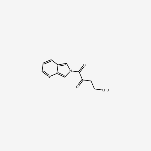 O=CCCC(=O)C(=O)n1cc2cccnc2c1